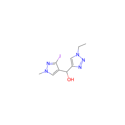 CCn1cc(C(O)c2cn(C)nc2I)nn1